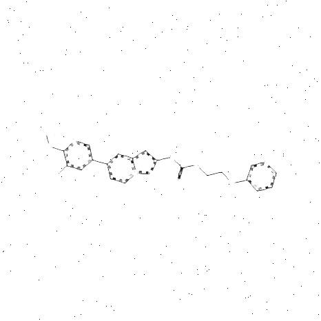 COc1ncc(-c2ccn3nc(NC(=O)NCCOc4cccnc4)cc3c2)cc1F